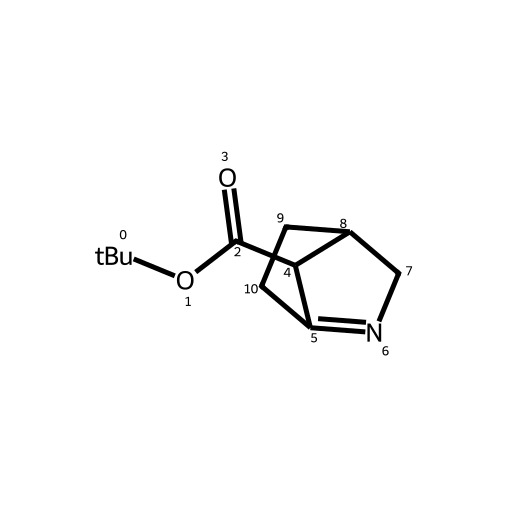 CC(C)(C)OC(=O)C1C2=NCC1CC2